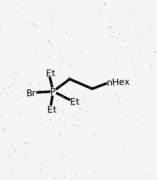 CCCCCCCCP(Br)(CC)(CC)CC